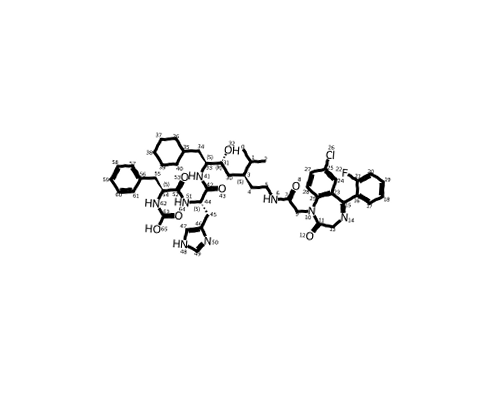 CC(C)[C@@H](CCNC(=O)CN1C(=O)CN=C(c2ccccc2F)c2cc(Cl)ccc21)C[C@@H](O)[C@H](CC1CCCCC1)NC(=O)[C@H](Cc1c[nH]cn1)NC(=O)[C@H](Cc1ccccc1)NC(=O)O